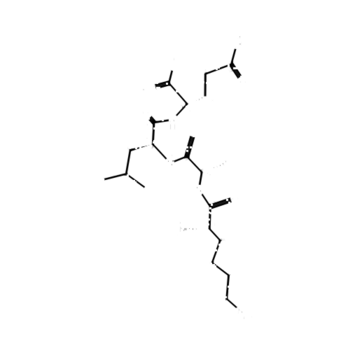 CC(C)C[C@H](NC(=O)[C@H](C)NC(=O)[C@@H](N)CCCCN)C(=O)N[C@@H](CCC(=O)O)C(=O)O